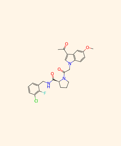 COc1ccc2c(c1)c(C(C)=O)cn2CC(=O)N1CCC[C@H]1C(=O)NCc1cccc(Cl)c1F